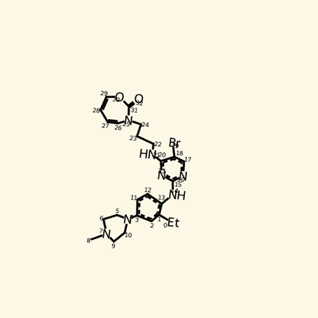 CCc1cc(N2CCN(C)CC2)ccc1Nc1ncc(Br)c(NCCCN2C=CC=COC2=O)n1